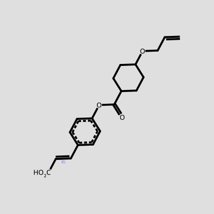 C=CCOC1CCC(C(=O)Oc2ccc(/C=C/C(=O)O)cc2)CC1